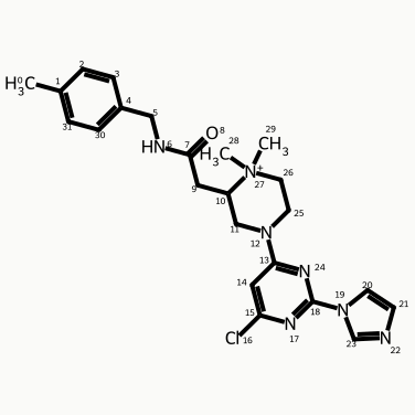 Cc1ccc(CNC(=O)CC2CN(c3cc(Cl)nc(-n4ccnc4)n3)CC[N+]2(C)C)cc1